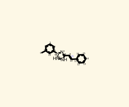 Cc1cccc(N2N=C(/C=C/c3ccccc3)NN2)c1